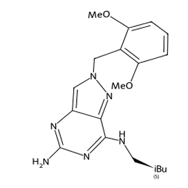 CC[C@H](C)CNc1nc(N)nc2cn(Cc3c(OC)cccc3OC)nc12